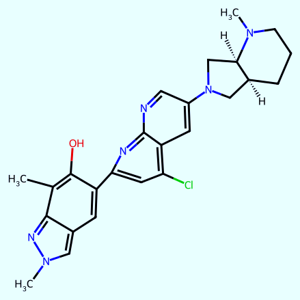 Cc1c(O)c(-c2cc(Cl)c3cc(N4C[C@@H]5CCCN(C)[C@@H]5C4)cnc3n2)cc2cn(C)nc12